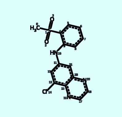 CS(=O)(=O)c1ccccc1Nc1cc(Cl)c2nccnc2c1